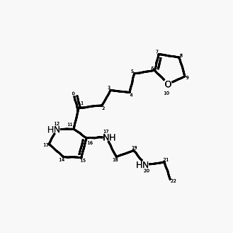 C=C(CCCCC1=CCCO1)C1NCCC=C1NCCNCC